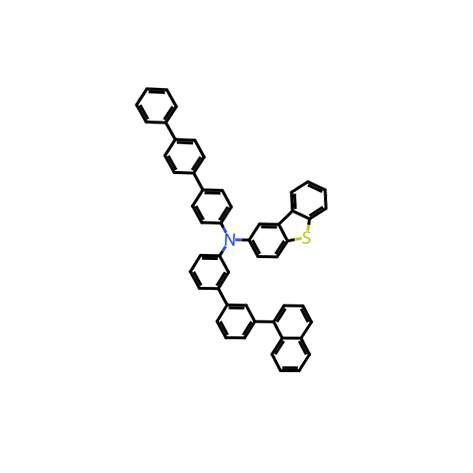 c1ccc(-c2ccc(-c3ccc(N(c4cccc(-c5cccc(-c6cccc7ccccc67)c5)c4)c4ccc5sc6ccccc6c5c4)cc3)cc2)cc1